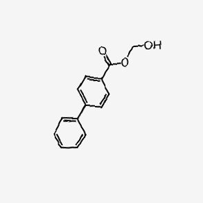 O=C(OCO)c1ccc(-c2ccccc2)cc1